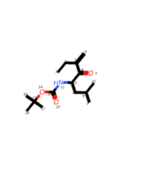 C=C(CC)C(=O)C(CC(C)C)NC(=O)OC(C)(C)C